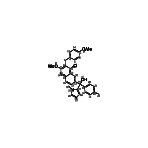 COc1ccc(Cc2c(OC)nc3ccc(C(O)(c4ccc(C)cc4)c4cncn4C)cc3c2Cl)cc1